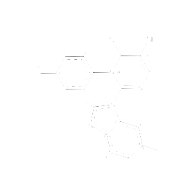 CCc1nc2ncc(Cl)cc2n1C1=NC=C(N)C(N)N1c1ccc(C(F)(F)F)cc1